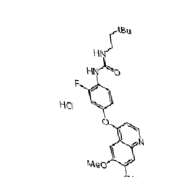 COc1cc2nccc(Oc3ccc(NC(=O)NCCC(C)(C)C)c(F)c3)c2cc1OC.Cl